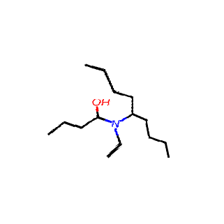 CCCCC(CCCC)N(CC)C(O)CCC